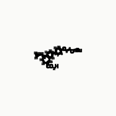 CCCCOCCOc1ccc(-c2ccc3c(c2)C=C(C(=O)O)CCN3CC2CC2)cc1